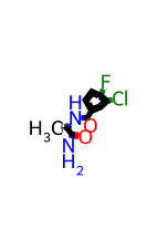 C[C@H](NC(=O)c1ccc(F)c(Cl)c1)C(N)=O